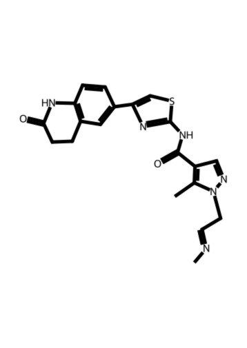 C/N=C/Cn1ncc(C(=O)Nc2nc(-c3ccc4c(c3)CCC(=O)N4)cs2)c1C